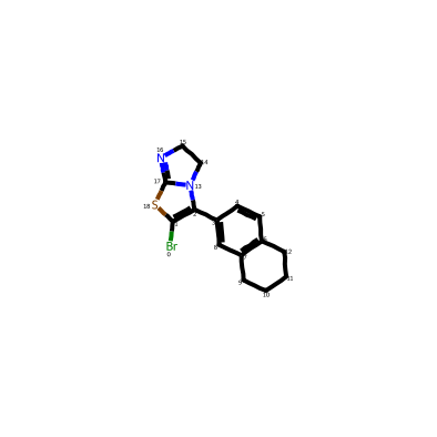 BrC1=C(c2ccc3c(c2)CCCC3)N2CCN=C2S1